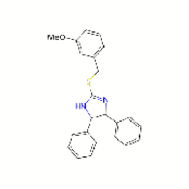 COc1cccc(CSC2=NC(c3ccccc3)C(c3ccccc3)N2)c1